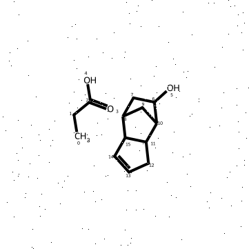 CCC(=O)O.OC1CC2CC1C1CC=CC21